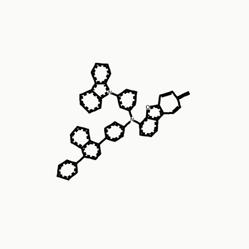 C=C1C=Cc2oc3c(N(c4ccc(-c5ccc(-c6ccccc6)c6ccccc56)cc4)c4cccc(-n5c6ccccc6c6ccccc65)c4)cccc3c2C=C1